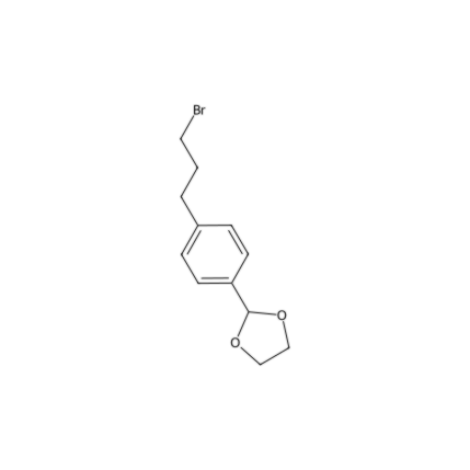 BrCCCc1ccc(C2OCCO2)cc1